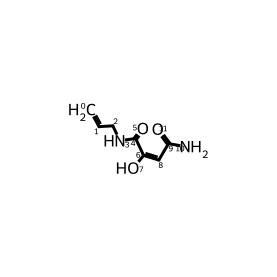 C=CCNC(=O)/C(O)=C\C(N)=O